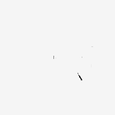 CC(C)CN1CCC(F)(F)[C@@H](C)C1